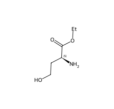 CCOC(=O)[C@@H](N)CCO